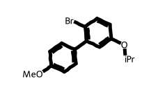 COc1ccc(-c2cc(OC(C)C)ccc2Br)cc1